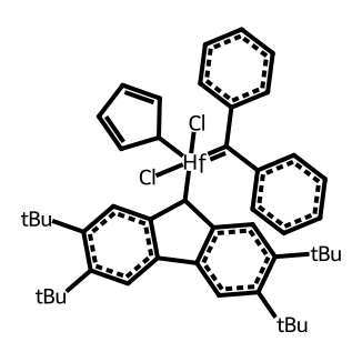 CC(C)(C)c1cc2c(cc1C(C)(C)C)[CH]([Hf]([Cl])([Cl])(=[C](c1ccccc1)c1ccccc1)[CH]1C=CC=C1)c1cc(C(C)(C)C)c(C(C)(C)C)cc1-2